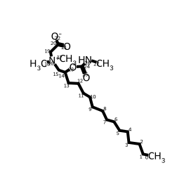 CCCCCCCCCCCCCCC(C[N+](C)(C)CC(=O)[O-])OC(=O)NC